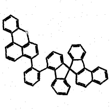 c1ccc2c(c1)Oc1ccc(-c3ccccc3-c3cccc4c3-c3ccccc3C43c4ccccc4-c4c3ccc3ccccc43)c3cccc-2c13